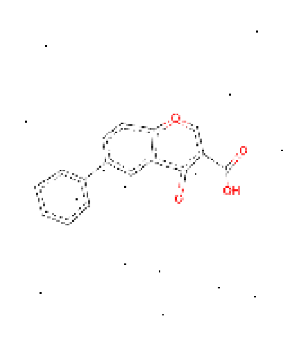 O=C(O)c1coc2ccc(-c3ccccc3)cc2c1=O